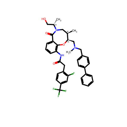 C[C@@H]1CN([C@@H](C)CO)C(=O)c2cccc(NC(=O)Cc3ccc(C(F)(F)F)cc3F)c2O[C@@H]1CN(C)Cc1ccc(-c2ccccc2)cc1